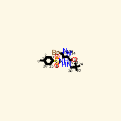 Cc1ccc(S(=O)(=O)Nc2c(Br)nn(C)c2C(=O)N[C@@H](C)C(C)(C)C)cc1